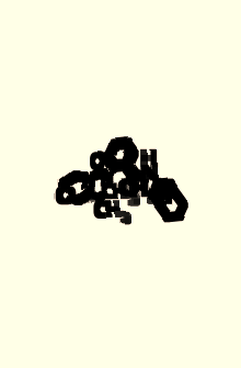 CC(C)[C@H]1COCCN1c1nc2c(C(=O)NC3CC4CCCC(C3)N4C)cccc2o1